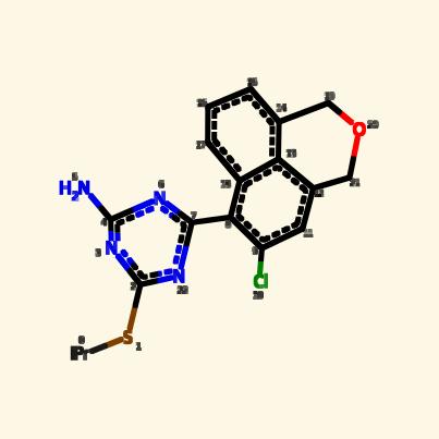 [CH2]C(C)Sc1nc(N)nc(-c2c(Cl)cc3c4c(cccc24)COC3)n1